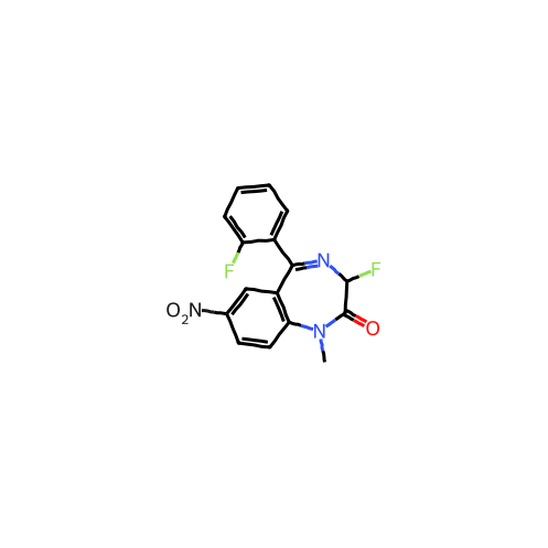 CN1C(=O)C(F)N=C(c2ccccc2F)c2cc([N+](=O)[O-])ccc21